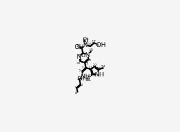 C/C=C/CN/C=C(/C1=CN(C)C(C(=O)N(CC)CCO)N=C1)c1cc(C)[nH]c1C=O